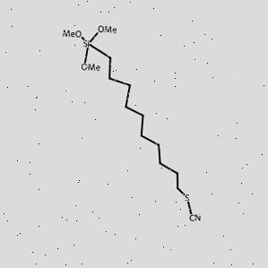 CO[Si](CCCCCCCCCCSC#N)(OC)OC